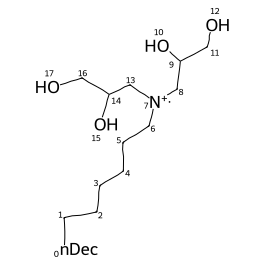 CCCCCCCCCCCCCCCC[N+](CC(O)CO)CC(O)CO